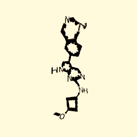 CO[C@H]1C[C@@H](Nc2ncc3c(-c4ccc5ncncc5c4)c[nH]c3n2)C1